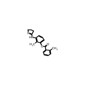 Cc1ccccc1C(=O)Oc1cccc(NC2=NCCC2)c1C